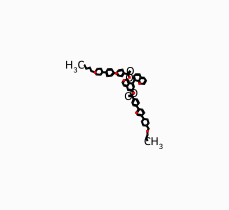 CCCCCC1CCC(c2ccc(-c3ccc(C(=O)Oc4cc(-c5c(OC(=O)c6ccc(-c7ccc(C8CCC(CCCCC)CC8)cc7)cc6)ccc6ccccc56)c5ccccc5c4)cc3)cc2)CC1